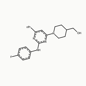 CCCc1cc(N2CCC(CO)CC2)nc(Nc2ccc(F)cc2)n1